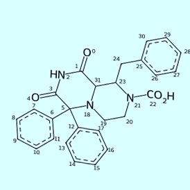 O=C1NC(=O)C(c2ccccc2)(c2ccccc2)N2CCN(C(=O)O)C(Cc3ccccc3)C12